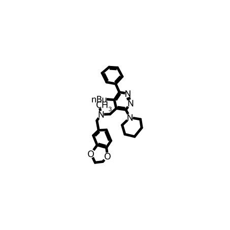 CCCCc1c(-c2ccccc2)nnc(N2CCCCC2)c1CN(C)Cc1ccc2c(c1)OCCO2